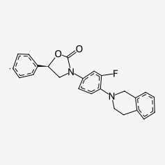 O=C1O[C@H](c2cc[c]cc2)CN1c1ccc(N2CCc3ccccc3C2)c(F)c1